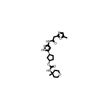 Cc1cnc(CC(=O)Nc2cc([C@H]3CC[C@@H](OC(=O)NC4(C)CCOCC4)C3)[nH]n2)o1